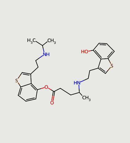 CC(C)NCCc1csc2cccc(OC(=O)CCC(C)NCCc3csc4cccc(O)c34)c12